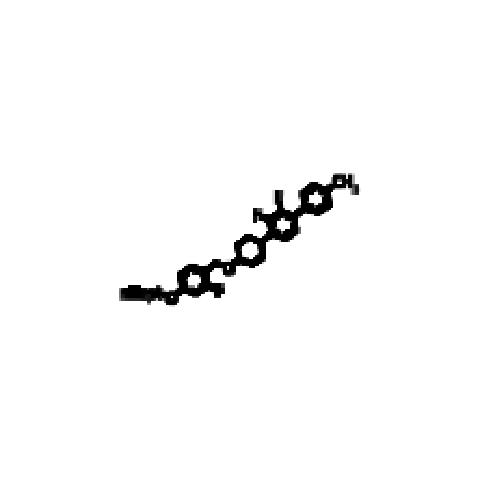 CCCCCCCOc1ccc(COC2CCC(c3ccc(-c4ccc(C)cc4)c(F)c3F)CC2)c(F)c1